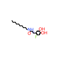 CCCCCCCCCCNC(=O)/C=C/c1cc(O)c(O)cc1F